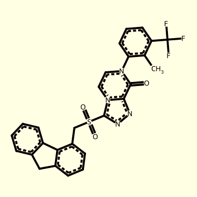 Cc1c(-n2ccn3c(S(=O)(=O)Cc4cccc5c4-c4ccccc4C5)nnc3c2=O)cccc1C(F)(F)F